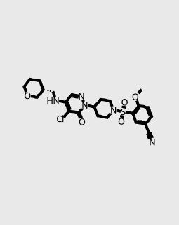 COc1ccc(C#N)cc1S(=O)(=O)N1CCC(n2ncc(NC[C@H]3CCCOC3)c(Cl)c2=O)CC1